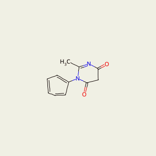 CC1=NC(=O)CC(=O)N1c1ccccc1